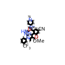 COC(=O)C1=C(C)N(c2cccc(C(F)(F)F)c2)c2n[nH]c(=O)n2C1c1ccc(C#N)cc1C[N+](C)(C)C1CCN(C)CC1